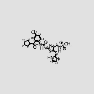 CS(=O)(=O)NCc1nc(NC(=O)Nc2ccc(Cl)cc2C(=O)C2CCCC2)sc1Sc1ncc[nH]1